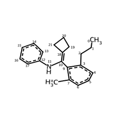 CCCc1cccc(C)c1C(Nc1ccccc1)=C1CCC1